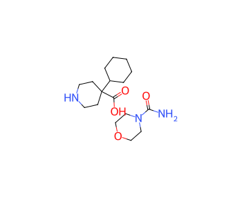 NC(=O)N1CCOCC1.O=C(O)C1(C2CCCCC2)CCNCC1